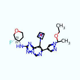 CCOC(C)n1cc(-c2ncn3nc(N[C@H]4CCOC[C@H]4F)nc3c2N2CC3CC2C3)cn1